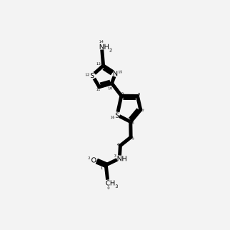 CC(=O)NCCc1ccc(-c2csc(N)n2)s1